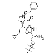 CC(C)(C)[Si](C)(C)OC[C@H](N)C1NN=C([C@H](CCC2CC2)N2CCN(OCc3ccccc3)C2C=O)O1